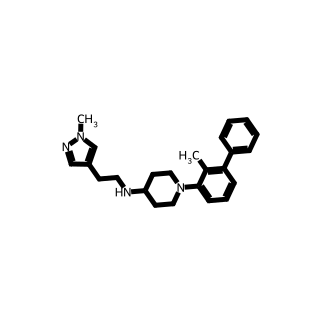 Cc1c(-c2ccccc2)cccc1N1CCC(NCCc2cnn(C)c2)CC1